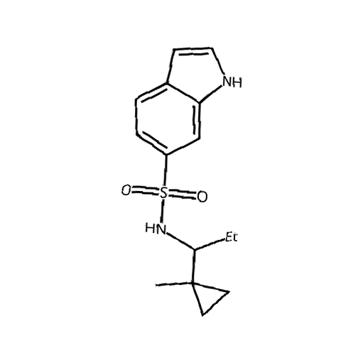 CCC(NS(=O)(=O)c1ccc2cc[nH]c2c1)C1(C)CC1